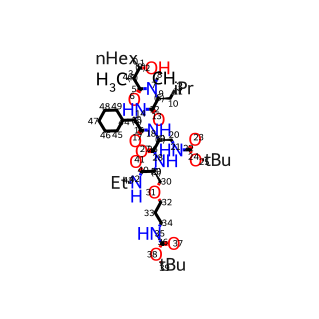 CCCCCC[C@@H](O)[C@@H](C)C(=O)N(C)[C@@H](CC(C)C)C(=O)N[C@H](C(=O)N[C@@H](CNC(=O)OC(C)(C)C)C(=O)N[C@@H](COCCCNC(=O)OC(C)(C)C)C(=O)NCC)C1CCCCC1